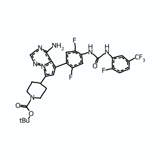 CC(C)(C)OC(=O)N1CCC(c2cc(-c3cc(F)c(NC(=O)Nc4cc(C(F)(F)F)ccc4F)cc3F)c3c(N)ncnn23)CC1